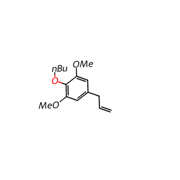 C=CCc1cc(OC)c(OCCCC)c(OC)c1